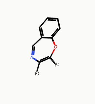 CCC1=C(CC)Oc2ccccc2C=N1